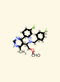 Cc1ncnc(-c2ccc(F)cc2)c1C(COC=O)NCc1ccc(F)cc1